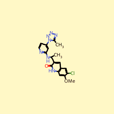 COc1cc2[nH]c(=O)c(C(C)Nc3cc(-n4nnnc4C)ccn3)cc2cc1Cl